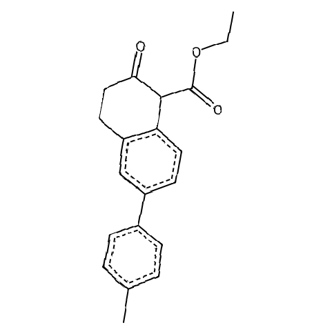 CCOC(=O)C1C(=O)CCc2cc(-c3ccc(C)cc3)ccc21